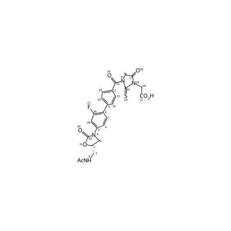 CC(=O)NC[C@H]1CN(c2ccc(-c3ccc(C(=O)N4CC(=O)N(CC(=O)O)C4=S)cc3)c(F)c2)C(=O)O1